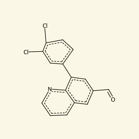 O=Cc1cc(-c2ccc(Cl)c(Cl)c2)c2ncccc2c1